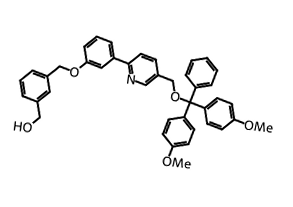 COc1ccc(C(OCc2ccc(-c3cccc(OCc4cccc(CO)c4)c3)nc2)(c2ccccc2)c2ccc(OC)cc2)cc1